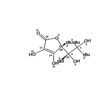 CC(C)(C)C(O)(C(C)(C)C)[C@@](O)(C(C)(C)C)[C@@]1(C(C)(C)C)OC(=O)C(O)=C1O